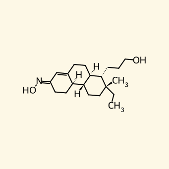 CC[C@]1(C)CC[C@H]2[C@@H](CCC3=C/C(=N/O)CC[C@@H]32)[C@@H]1CCCO